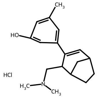 Cc1cc(O)cc(C2=CC3CCC(C3)C2CN(C)C)c1.Cl